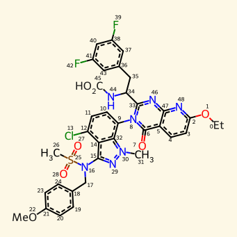 CCOc1ccc2c(=O)n(-c3ccc(Cl)c4c(N(Cc5ccc(OC)cc5)S(C)(=O)=O)nn(C)c34)c(C(Cc3cc(F)cc(F)c3)NC(=O)O)nc2n1